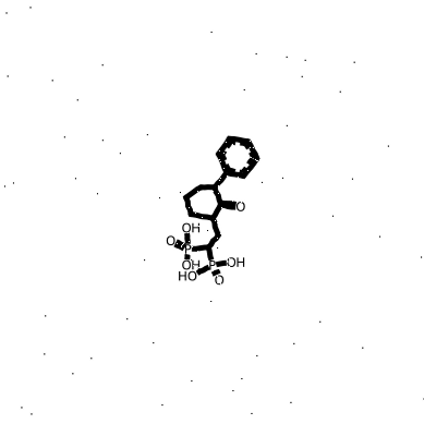 O=C1C(CC(P(=O)(O)O)P(=O)(O)O)CCCC1c1ccccc1